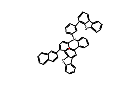 c1cc(-c2cccc3c2sc2ccccc23)cc(N(c2ccc(-c3ccc4ccccc4c3)cc2)c2ccccc2-c2ccc3sc4ccccc4c3c2)c1